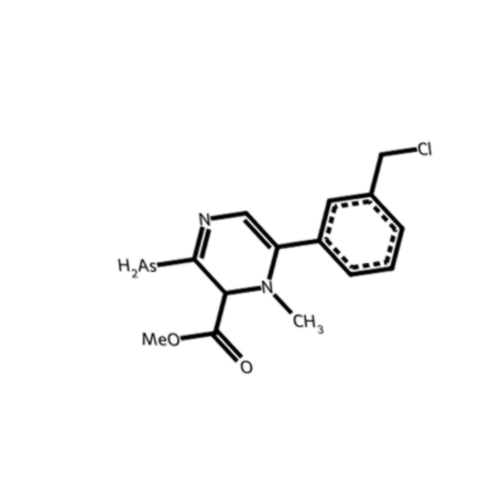 COC(=O)C1C([AsH2])=NC=C(c2cccc(CCl)c2)N1C